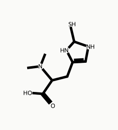 CN(C)C(CC1=CNC(S)N1)C(=O)O